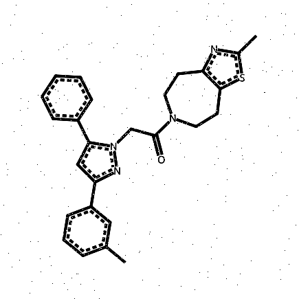 Cc1cccc(-c2cc(-c3ccccc3)n(CC(=O)N3CCc4nc(C)sc4CC3)n2)c1